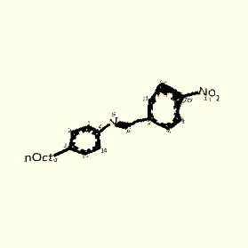 CCCCCCCCc1ccc(/N=C/c2ccc([N+](=O)[O-])cc2)cc1